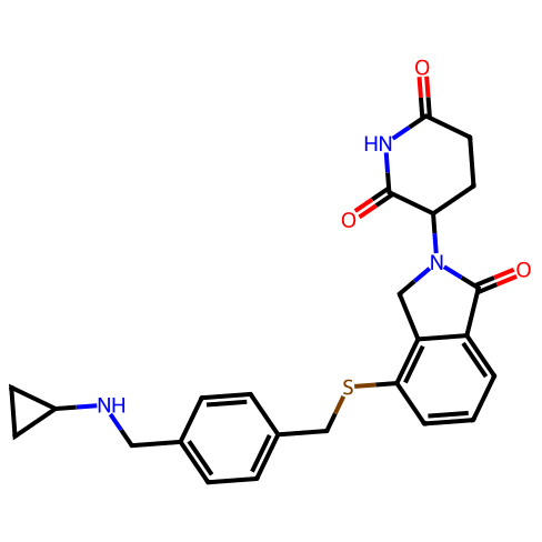 O=C1CCC(N2Cc3c(SCc4ccc(CNC5CC5)cc4)cccc3C2=O)C(=O)N1